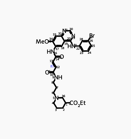 CCOC(=O)C1CCCN(CCCNC(=O)/C=C/C(=O)Nc2cc3c(Nc4cccc(Br)c4)ncnc3cc2OC)C1